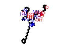 CC(=O)N1CCCCC1C(=O)N[C@@H](CC(C)C)C(=O)N[C@@H](Cc1cncn1CCCCCCCCc1ccccc1)C(=O)N[C@@H](CO)C(=O)N[C@H](C(N)=O)[C@@H](C)OP(=O)(O)OCCc1ccco1